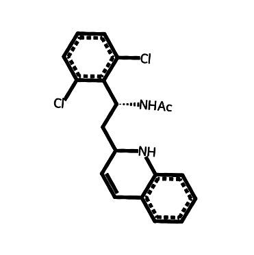 CC(=O)N[C@H](CC1C=Cc2ccccc2N1)c1c(Cl)cccc1Cl